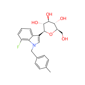 Cc1ccc(Cn2cc([C@@H]3O[C@H](CO)[C@@H](O)[C@H](O)[C@H]3O)c3cccc(F)c32)cc1